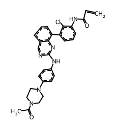 C=CC(=O)Nc1cccc(-c2cccc3cnc(Nc4ccc(N5CCN(C(C)=O)CC5)cc4)nc23)c1Cl